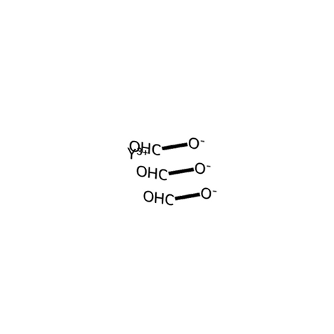 O=C[O-].O=C[O-].O=C[O-].[Y+3]